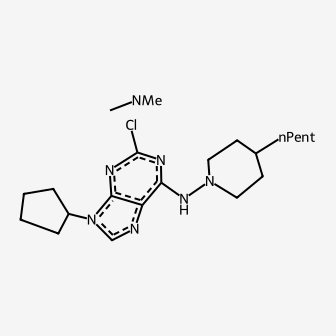 CCCCCC1CCN(Nc2nc(Cl)nc3c2ncn3C2CCCC2)CC1.CNC